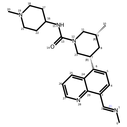 C/N=C/c1ccc([C@H]2C[C@@H](C)CN(C(=O)NC3CCN(C)CC3)C2)c2cccnc12